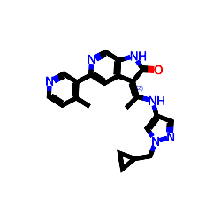 C/C(Nc1cnn(CC2CC2)c1)=C1/C(=O)Nc2cnc(-c3cnccc3C)cc21